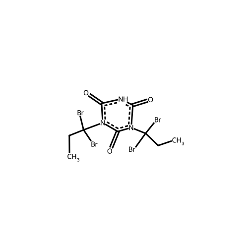 CCC(Br)(Br)n1c(=O)[nH]c(=O)n(C(Br)(Br)CC)c1=O